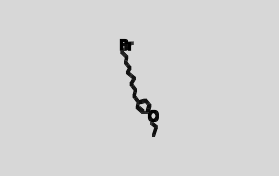 CCCOc1ccc(CCCCCCCCCBr)cc1